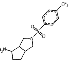 NC1CCC2CN(S(=O)(=O)c3ccc(C(F)(F)F)cc3)CC12